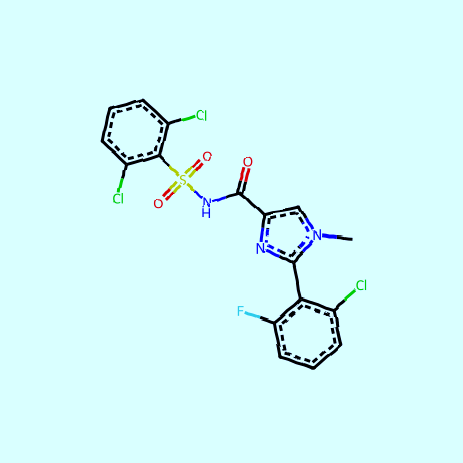 Cn1cc(C(=O)NS(=O)(=O)c2c(Cl)cccc2Cl)nc1-c1c(F)cccc1Cl